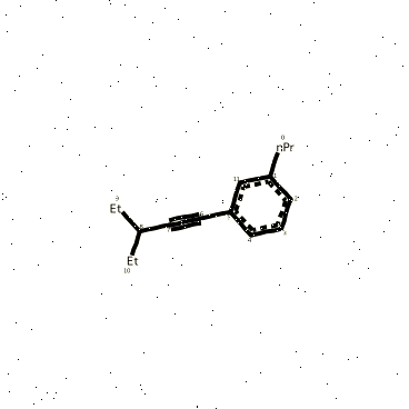 CCCc1cccc(C#CC(CC)CC)c1